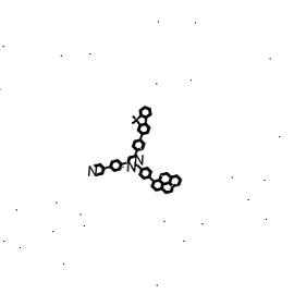 CC1(C)c2ccccc2-c2ccc(-c3ccc(-c4cc(-c5ccc(-c6ccncc6)cc5)nc(-c5ccc(-c6ccc7ccc8cccc9ccc6c7c89)cc5)n4)cc3)cc21